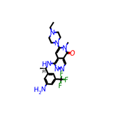 CCN1CCN(c2cc3c(N[C@H](C)c4cc(N)cc(C(F)(F)F)c4)nncc3c(=O)n2C)CC1